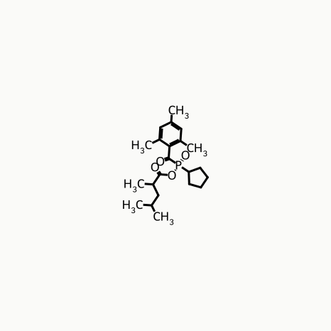 Cc1cc(C)c(C(=O)P(=O)(OC(=O)C(C)CC(C)C)C2CCCC2)c(C)c1